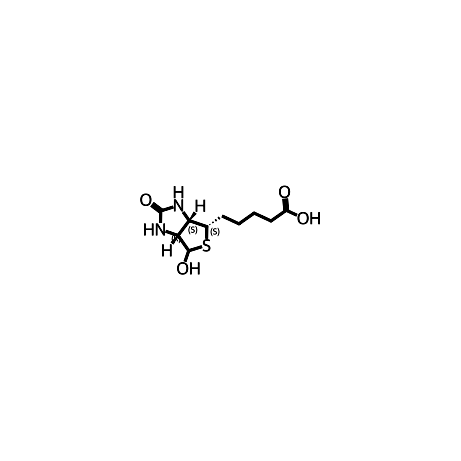 O=C(O)CCCC[C@@H]1SC(O)[C@@H]2NC(=O)N[C@H]12